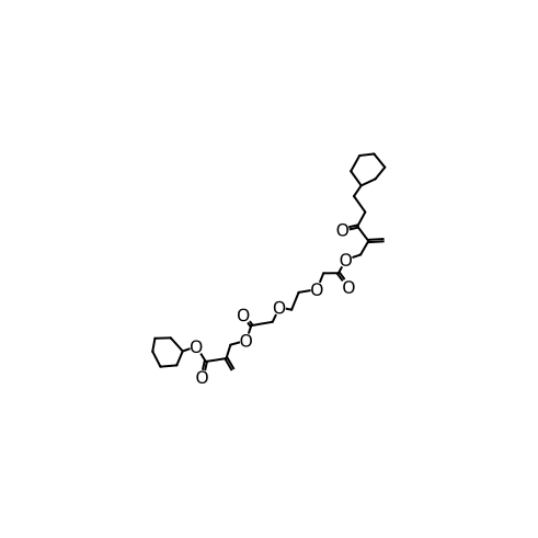 C=C(COC(=O)COCCOCC(=O)OCC(=C)C(=O)OC1CCCCC1)C(=O)CCC1CCCCC1